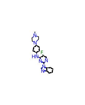 CN1CCN(c2ccc(Nc3nc(-n4cnc5ccccc54)ncc3F)cc2)CC1